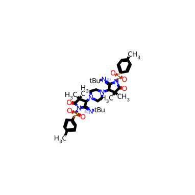 Cc1ccc(S(=O)(=O)N2C(=O)C(C)(C)C(N3CCN(C4/C(=N\C(C)(C)C)N(S(=O)(=O)c5ccc(C)cc5)C(=O)C4(C)C)CC3)/C2=N\C(C)(C)C)cc1